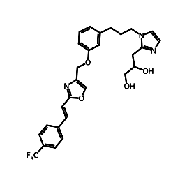 OCC(O)Cc1nccn1CCCc1cccc(OCc2coc(/C=C/c3ccc(C(F)(F)F)cc3)n2)c1